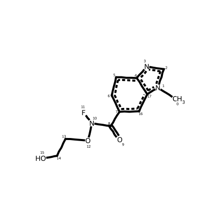 Cn1cnc2ccc(C(=O)N(F)OCCO)cc21